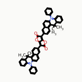 CC1(C)c2ccccc2N(c2ccccc2)c2ccc3cc(C4=C5OC(=O)C(c6ccc7c8c(ccc7c6)N(c6ccccc6)c6ccccc6C8(C)C)=C5OC4=O)ccc3c21